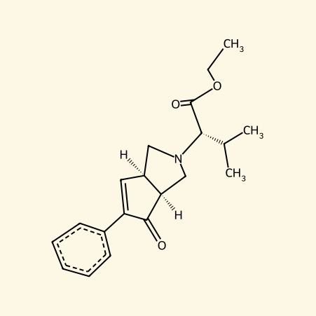 CCOC(=O)[C@H](C(C)C)N1C[C@@H]2C=C(c3ccccc3)C(=O)[C@@H]2C1